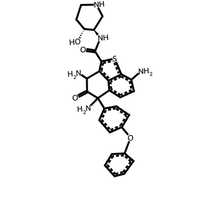 Nc1ccc2c3c(c(C(=O)N[C@@H]4CNCC[C@H]4O)sc13)C(N)C(=O)C2(N)c1ccc(Oc2ccccc2)cc1